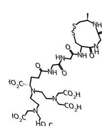 C[C@@H]1CSSCC(NC(=O)CNC(=O)CNC(=O)CC[C@@H](C(=O)O)N(CCN(CC(=O)O)CC(=O)O)CCN(CC(=O)O)CC(=O)O)C(=O)NCC(=O)N1